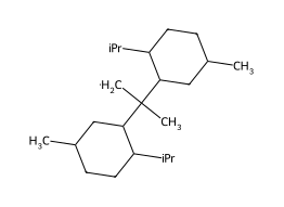 [CH2]C(C)(C1CC(C)CCC1C(C)C)C1CC(C)CCC1C(C)C